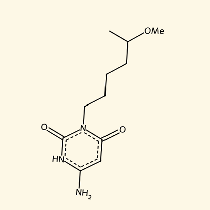 COC(C)CCCCn1c(=O)cc(N)[nH]c1=O